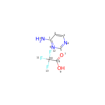 Nc1ccncn1.O=C(O)C(F)(F)F